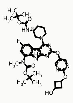 CN(C(=O)OC(C)(C)C)c1cc(F)cc2c1[nH]c1nc(Oc3cnc(OC4CC(O)C4)nc3)nc(N3CCC[C@@H](NC(=O)OC(C)(C)C)C3)c12